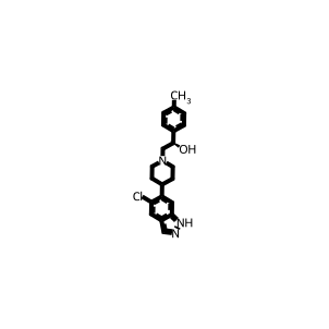 Cc1ccc([C@@H](O)CN2CCC(c3cc4[nH]ncc4cc3Cl)CC2)cc1